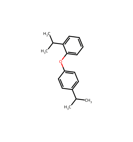 CC(C)c1ccc(Oc2ccccc2C(C)C)cc1